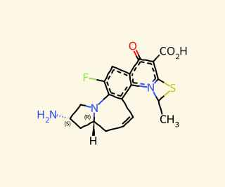 CC1Sc2c(C(=O)O)c(=O)c3cc(F)c4c(c3n21)C=CC[C@@H]1C[C@H](N)CN41